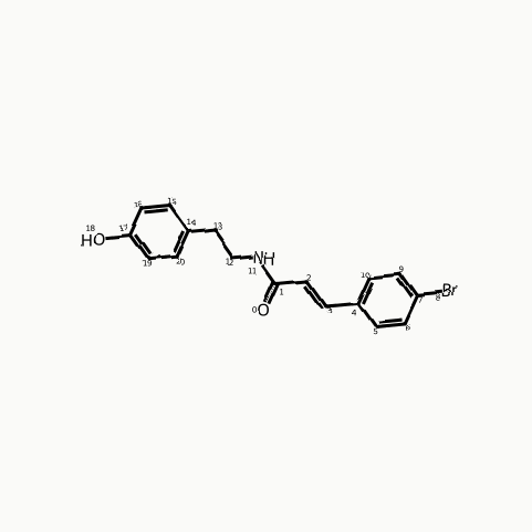 O=C(/C=C/c1ccc(Br)cc1)NCCc1ccc(O)cc1